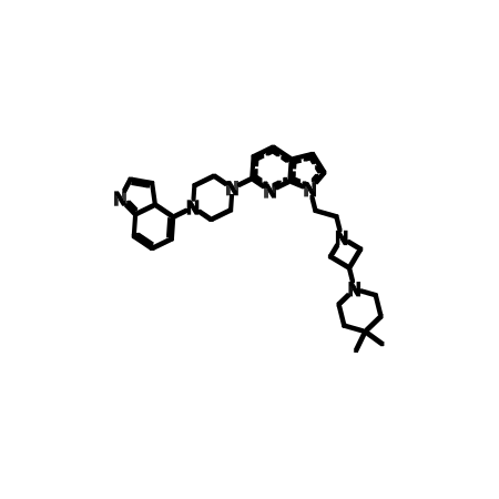 CC1(C)CCN(C2CN(CCn3ccc4ccc(N5CCN(C6=CC=CC7=NC=CC67)CC5)nc43)C2)CC1